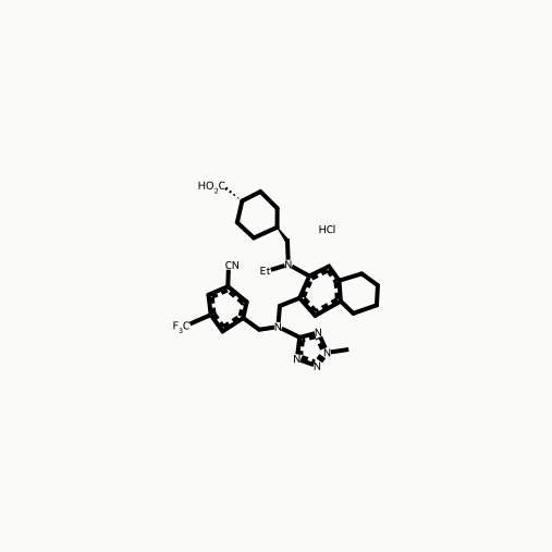 CCN(C[C@H]1CC[C@H](C(=O)O)CC1)c1cc2c(cc1CN(Cc1cc(C#N)cc(C(F)(F)F)c1)c1nnn(C)n1)CCCC2.Cl